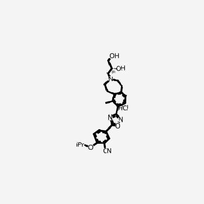 Cc1c(-c2noc(-c3ccc(OC(C)C)c(C#N)c3)n2)ccc2c1CCN(C[C@@H](O)CO)CC2.Cl